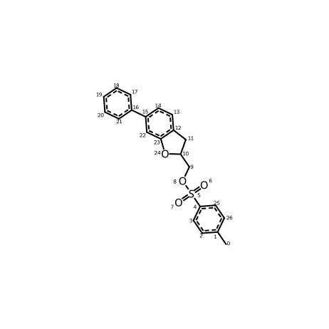 Cc1ccc(S(=O)(=O)OCC2Cc3ccc(-c4ccccc4)cc3O2)cc1